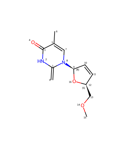 C=C1NC(=O)C(C)=CN1[C@H]1C=C[C@@H](COC)O1